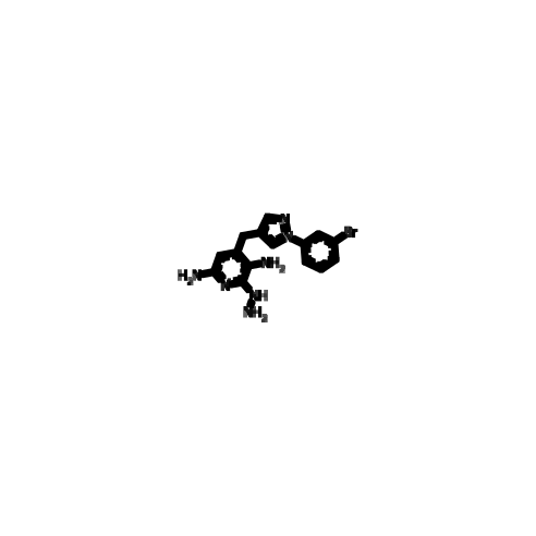 NNc1nc(N)cc(Cc2cnn(-c3cccc(Br)c3)c2)c1N